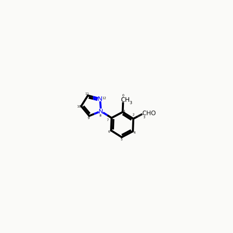 Cc1c(C=O)cccc1-n1cccn1